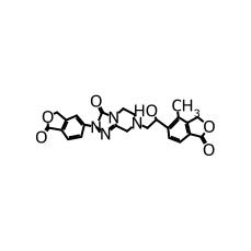 Cc1c(C(O)CN2CCn3c(nn(-c4ccc5c(c4)COC5=O)c3=O)C2)ccc2c1COC2=O